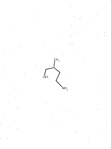 CN(CO)CCN